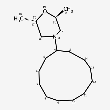 C[C@H]1CN(C2CCCCCCCCCCC2)C[C@H](C)O1